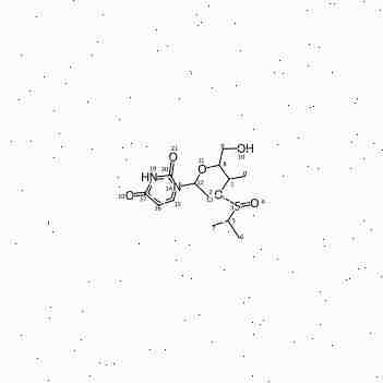 CC(OS(=O)C(C)C)C(CO)OC(C)n1ccc(=O)[nH]c1=O